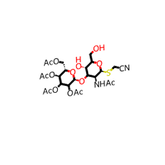 CC(=O)N[C@H]1C(O[C@@H]2O[C@@H](COC(C)=O)[C@H](OC(C)=O)C(OC(C)=O)C2OC(C)=O)[C@H](O)C(CO)O[C@H]1SCC#N